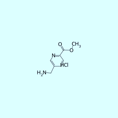 COC(=O)c1ccc(CN)cn1.Cl